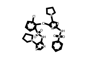 Cc1c(Cl)cccc1S(=O)(=O)Nc1ncsc1N1CCCC1.O=S(=O)(Nc1nc(Cl)c(N2CCCC2)s1)c1ccccc1